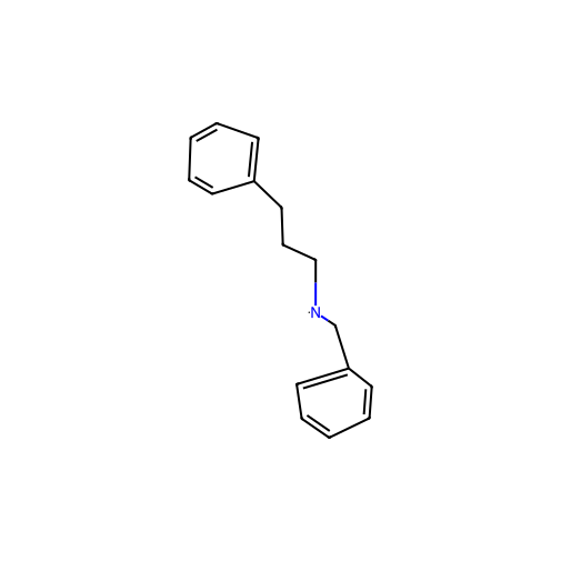 c1ccc(CCC[N]Cc2ccccc2)cc1